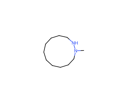 CN1CCCCCCCCCCN1